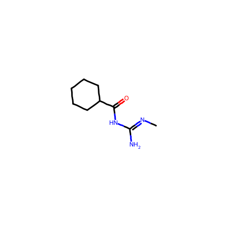 CN=C(N)NC(=O)C1CCCCC1